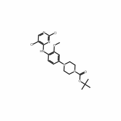 COc1cc(N2CCN(C(=O)OC(C)(C)C)CC2)ccc1Nc1nc(Cl)ncc1Cl